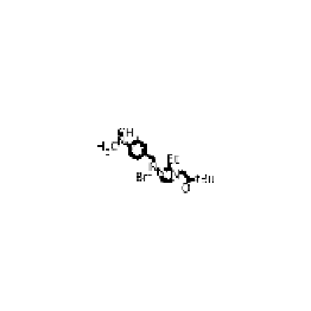 CCc1n(N=Cc2ccc(N(C)C)cc2)cc[n+]1CC(=O)C(C)(C)C.[Br-]